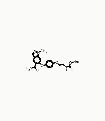 Cn1ncc2cc(C(N)=O)c(Oc3ccc(OCCNC(=O)OC(C)(C)C)cc3)cc21